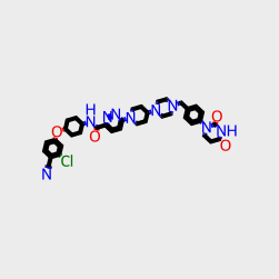 N#Cc1ccc(OC2CCC(NC(=O)c3ccc(N4CCC(N5CCN(Cc6ccc(N7CCC(=O)NC7=O)cc6)CC5)CC4)nn3)CC2)cc1Cl